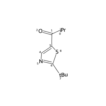 CC(C)C(=O)c1cnc(C(C)(C)C)s1